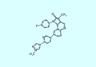 Cn1cc(-c2ccc(-c3ccc4ncc5c(c4c3)n(-c3ccc(F)cc3)c(=O)n5C)cn2)cn1